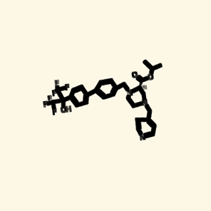 CC(C)OC(=O)[C@@H]1CN(Cc2ccncc2)CCN1Cc1ccc(-c2ccc(C(O)(C(F)(F)F)C(F)(F)F)cc2)cc1